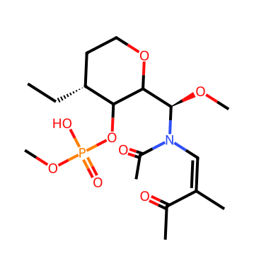 CC[C@@H]1CCOC([C@@H](OC)N(/C=C(/C)C(C)=O)C(C)=O)C1OP(=O)(O)OC